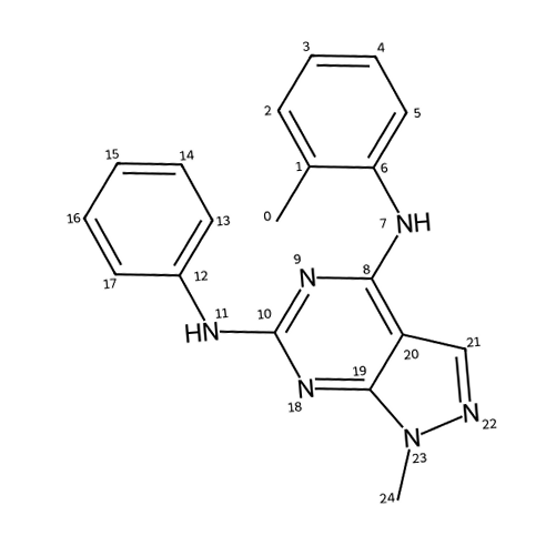 Cc1ccccc1Nc1nc(Nc2ccccc2)nc2c1cnn2C